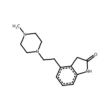 CN1CCN(CCc2cccc3c2CC(=O)N3)CC1